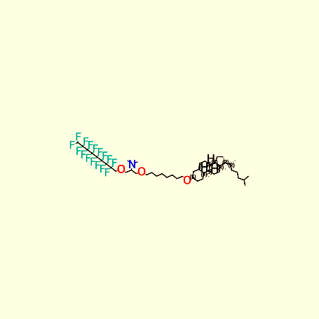 CC(C)CCC[C@@H](C)[C@H]1CC[C@H]2[C@@H]3CC=C4C[C@@H](OCCCCCCCCOCC(COCC(F)(F)C(F)(F)C(F)(F)C(F)(F)C(F)(F)C(F)(F)C(F)(F)C(F)F)N(C)C)CC[C@]4(C)[C@H]3CC[C@]12C